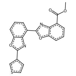 COC(=O)c1cccc2oc(-c3cccc4oc(-c5ccsc5)nc34)nc12